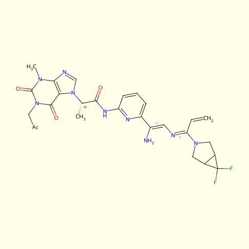 C=C/C(=N\C=C(/N)c1cccc(NC(=O)[C@H](C)n2cnc3c2c(=O)n(CC(C)=O)c(=O)n3C)n1)N1CC2C(C1)C2(F)F